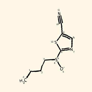 CCCC[S+]([O-])c1ncc(C#N)s1